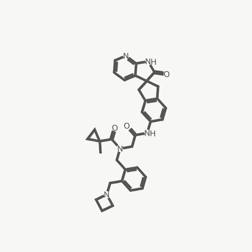 CC1(C(=O)N(CC(=O)Nc2ccc3c(c2)CC2(C3)C(=O)Nc3ncccc32)Cc2ccccc2CN2CCC2)CC1